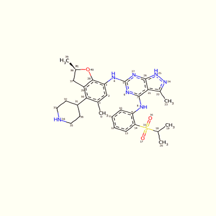 Cc1cc(Nc2nc(Nc3ccccc3S(=O)(=O)C(C)C)c3c(C)n[nH]c3n2)c2c(c1C1CCNCC1)C[C@@H](C)O2